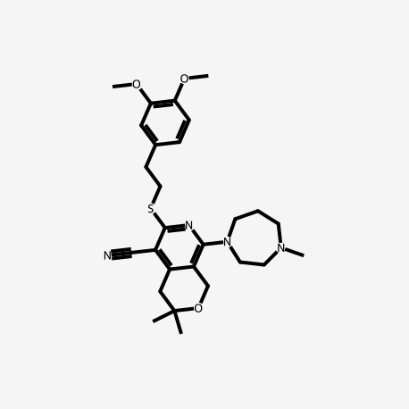 COc1ccc(CCSc2nc(N3CCCN(C)CC3)c3c(c2C#N)CC(C)(C)OC3)cc1OC